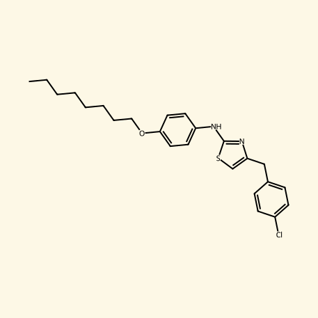 CCCCCCCCOc1ccc(Nc2nc(Cc3ccc(Cl)cc3)cs2)cc1